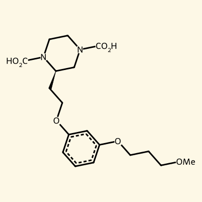 COCCCOc1cccc(OCC[C@@H]2CN(C(=O)O)CCN2C(=O)O)c1